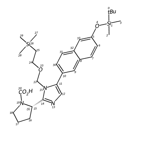 CC(C)(C)[Si](C)(C)Oc1ccc2cc(-c3cnc([C@@H]4CCCN4C(=O)O)n3COCC[Si](C)(C)C)ccc2c1